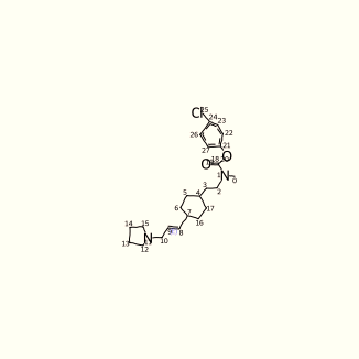 CN(CCC1CCC(/C=C/CN2CCCC2)CC1)C(=O)Oc1ccc(Cl)cc1